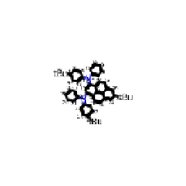 CC(C)(C)c1ccc(N(c2ccccc2)c2cc(N(c3ccccc3)c3ccc(C(C)(C)C)cc3)c3ccc4cc(C(C)(C)C)cc5ccc2c3c54)cc1